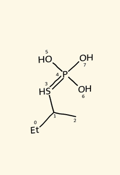 CCC(C)[SH]=P(O)(O)O